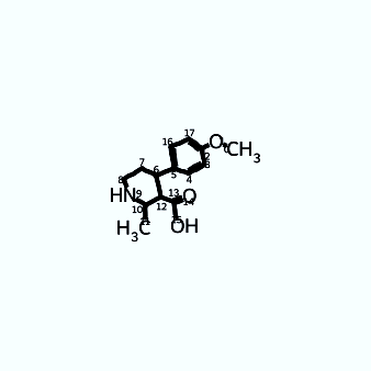 COc1ccc(C2CCNC(C)C2C(=O)O)cc1